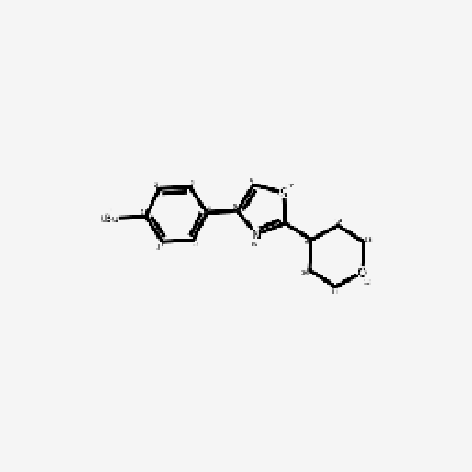 CC(C)(C)c1ccc(-c2csc(C3CCOCC3)n2)cc1